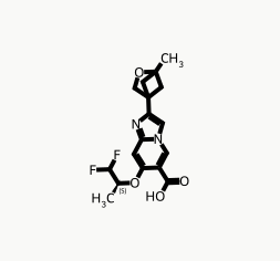 C[C@H](Oc1cc2nc(C34COC(C)(C3)C4)cn2cc1C(=O)O)C(F)F